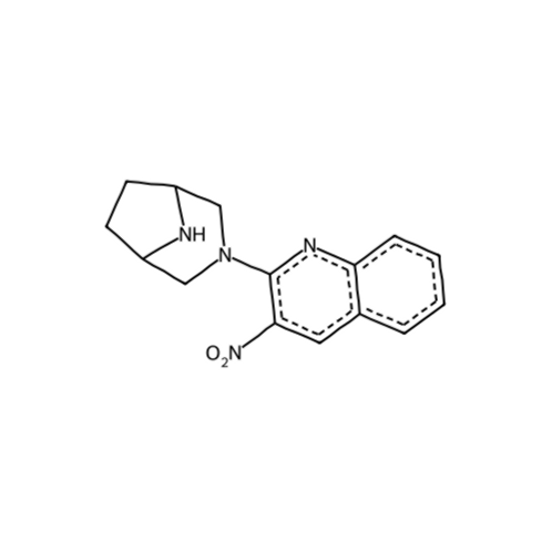 O=[N+]([O-])c1cc2ccccc2nc1N1CC2CCC(C1)N2